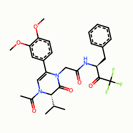 COc1ccc(C2=CN(C(C)=O)[C@@H](C(C)C)C(=O)N2CC(=O)N[C@@H](Cc2ccccc2)C(=O)C(F)(F)F)cc1OC